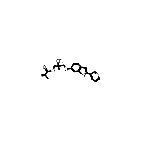 C=C(C)C(=O)OCC(C)(COc1ccc2cc(-c3cccnc3)oc2c1)C(F)(F)F